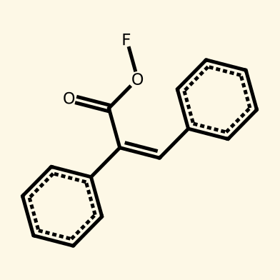 O=C(OF)C(=Cc1ccccc1)c1ccccc1